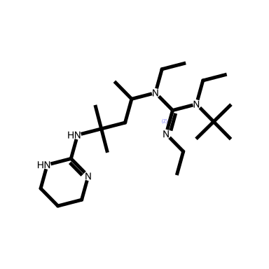 CC/N=C(/N(CC)C(C)CC(C)(C)NC1=NCCCN1)N(CC)C(C)(C)C